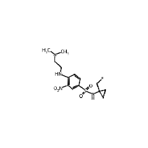 CN(C)CCNc1ccc(S(=O)(=O)NC2(CF)CC2)cc1[N+](=O)[O-]